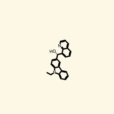 CCn1c2ccccc2c2cc([C@H](O)c3cccc4cccnc34)ccc21